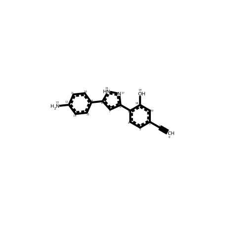 C#Cc1ccc(-c2cc(-c3ccc(N)cc3)[nH]n2)c(O)c1